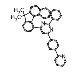 CC1(C)c2cccc(-c3cc(-c4ccc(-c5ccccn5)cc4)nc(-c4ccccc4)n3)c2-c2c1ccc1ccccc21